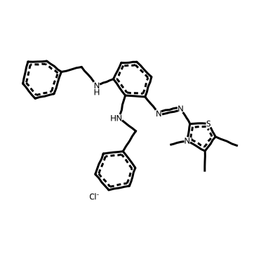 Cc1sc(N=Nc2cccc(NCc3ccccc3)c2NCc2ccccc2)[n+](C)c1C.[Cl-]